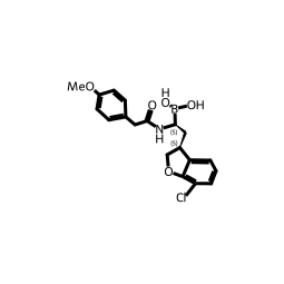 COc1ccc(CC(=O)N[C@H](C[C@@H]2COc3c(Cl)cccc32)B(O)O)cc1